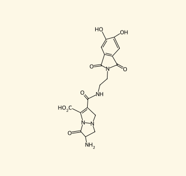 NC1CN2CC(C(=O)NCCN3C(=O)c4cc(O)c(O)cc4C3=O)=C(C(=O)O)N2C1=O